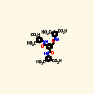 O=C(O)c1cc(NOCc2cc(C(=O)Nc3cc(C(=O)O)cc(C(=O)O)c3)cc(C(=O)Nc3cc(C(=O)O)cc(C(=O)O)c3)c2)cc(C(=O)O)c1